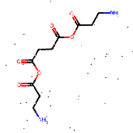 NCCC(=O)OC(=O)CCC(=O)OC(=O)CCN